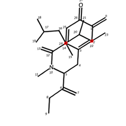 C=C1C=C(CC(C(=C)CC)N(C)C(=C)C(C)(CC(C)C)C(C)CC)C=CC1=O